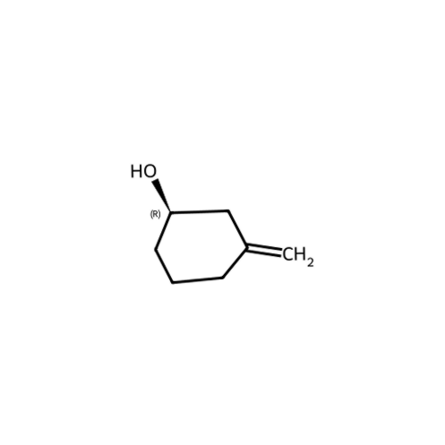 C=C1CCC[C@@H](O)C1